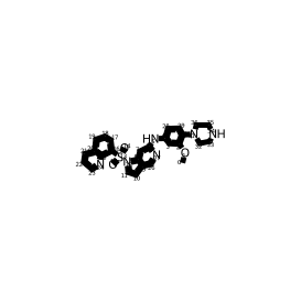 COc1cc(Nc2cc3c(ccn3S(=O)(=O)c3cccc4cccnc34)cn2)ccc1N1CCNCC1